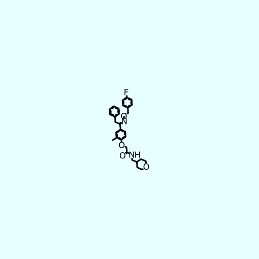 Cc1cc(/C(Cc2ccccc2)=N/OCc2ccc(F)cc2)ccc1OCC(=O)NCC1CCOCC1